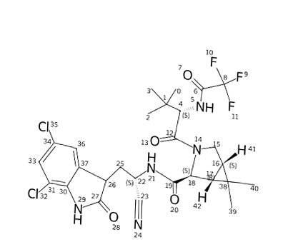 CC(C)(C)[C@H](NC(=O)C(F)(F)F)C(=O)N1C[C@H]2[C@@H]([C@H]1C(=O)N[C@H](C#N)CC1C(=O)Nc3c(Cl)cc(Cl)cc31)C2(C)C